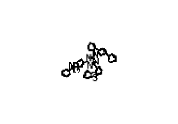 c1ccc(-c2ccc3c4ccccc4n(-c4nc(-c5ccc6nc(-c7ccccc7)oc6c5)nc(-c5cccc6sc7ccccc7c56)n4)c3c2)cc1